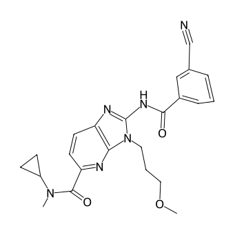 COCCCn1c(NC(=O)c2cccc(C#N)c2)nc2ccc(C(=O)N(C)C3CC3)nc21